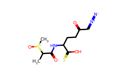 CC(C(=O)NC(CCC(=O)C=[N+]=[N-])C(O)=S)[S+](C)[O-]